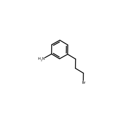 Nc1cccc(CCCBr)c1